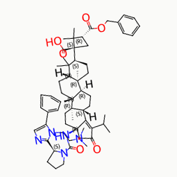 CC(C)C1=C2[C@H]3CC[C@@H]4[C@]5(C)CC[C@H]([C@@]6(C(=O)O)C[C@@H](C(=O)OCc7ccccc7)C6(C)C)C(C)(C)[C@H]5CC[C@@]4(C)[C@]3(C)CC[C@@]2(NC(=O)N2CCC[C@H]2c2ncc(-c3ccccc3)n2CCN(C)C)CC1=O